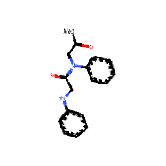 COC(=O)CN(C(=O)CNc1ccccc1)c1ccccc1